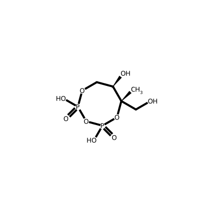 C[C@@]1(CO)OP(=O)(O)OP(=O)(O)OC[C@H]1O